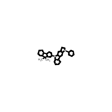 CC1(C)c2ccccc2-c2ccc(-n3c4ccccc4c4cc5c(ccn5-c5ccccc5)cc43)cc21